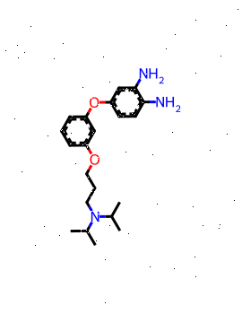 CC(C)N(CCCOc1cccc(Oc2ccc(N)c(N)c2)c1)C(C)C